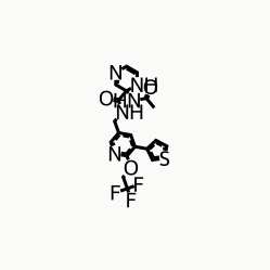 CC(=O)NC1(C(=O)NCc2cnc(OCC(F)(F)F)c(-c3ccsc3)c2)C=NC=CN1